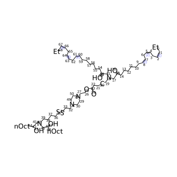 CC/C=C\C/C=C\C/C=C\CCCCCC[C@@H](O)CN(CCCCC(=O)OCCN1CCN(CCSSCCCCN(CC(O)CCCCCCCC)CC(O)CCCCCCCC)CC1)C[C@H](O)CCCCCC/C=C\C/C=C\C/C=C\CC